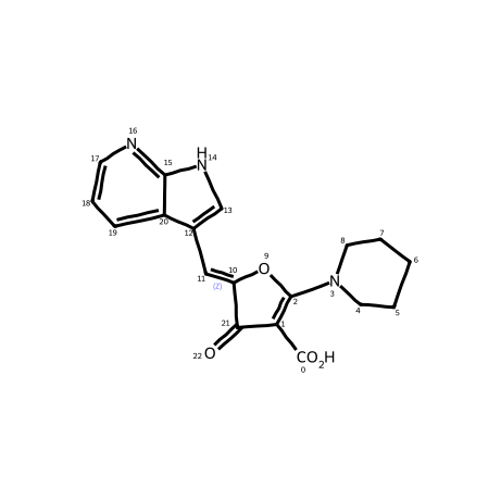 O=C(O)C1=C(N2CCCCC2)O/C(=C\c2c[nH]c3ncccc23)C1=O